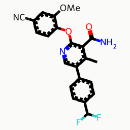 COc1cc(C#N)ccc1Oc1ncc(-c2ccc(C(F)F)cc2)c(C)c1C(N)=O